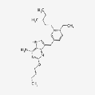 CCCCOc1nc(N)c2[nH]cc(Cc3ccc(CC)c(CCC(C)CC)c3)c2n1